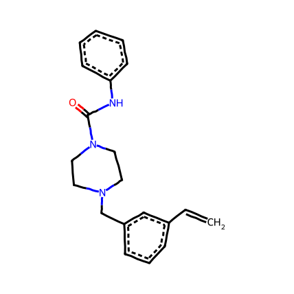 C=Cc1cccc(CN2CCN(C(=O)Nc3ccccc3)CC2)c1